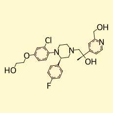 C[C@@](O)(CN1CCN(c2ccc(OCCO)cc2Cl)[C@H](c2ccc(F)cc2)C1)c1ccnc(CO)c1